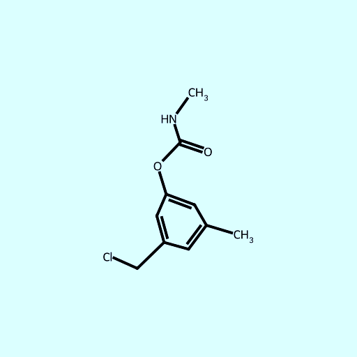 CNC(=O)Oc1cc(C)cc(CCl)c1